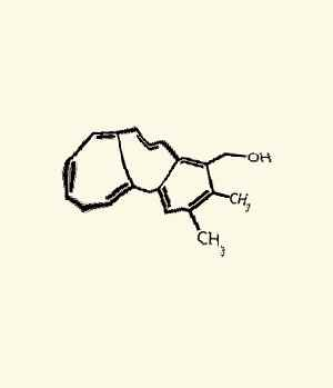 Cc1cc2c(ccc3ccccc32)c(CO)c1C